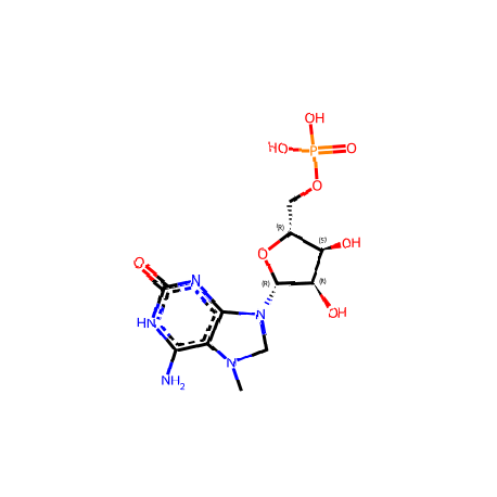 CN1CN([C@@H]2O[C@H](COP(=O)(O)O)[C@@H](O)[C@H]2O)c2nc(=O)[nH]c(N)c21